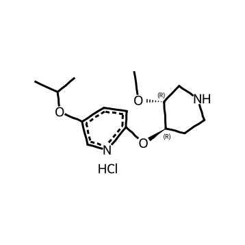 CO[C@@H]1CNCC[C@H]1Oc1ccc(OC(C)C)cn1.Cl